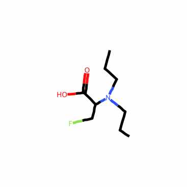 CCCN(CCC)C(CF)C(=O)O